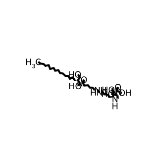 CCCCCCCCCCCCC/C=C/C[C@H](CO)N(O)C(=O)CCCCCNNCCCC[C@@H]1NCC2N(O)C(=O)N(O)C21O